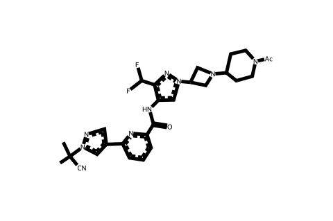 CC(=O)N1CCC(N2CC(n3cc(NC(=O)c4cccc(-c5cnn(C(C)(C)C#N)c5)n4)c(C(F)F)n3)C2)CC1